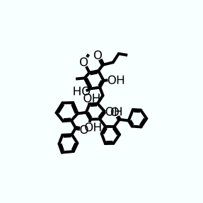 CCCC(=O)c1c(O)c(Cc2c(O)c(-c3ccccc3C(=O)c3ccccc3)c(O)c(-c3ccccc3C(=O)c3ccccc3)c2O)c(O)c(C)c1OC